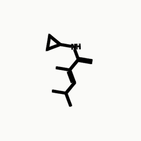 C=C(NC1CC1)/C(C)=C/C(C)C